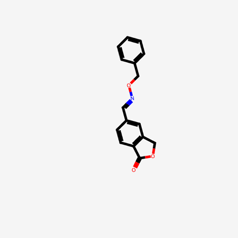 O=C1OCc2cc(C=NOCc3ccccc3)ccc21